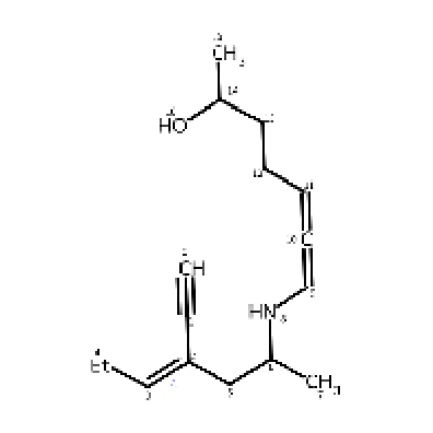 C#C/C(=C\CC)CC(C)NC=C=CCCC(C)O